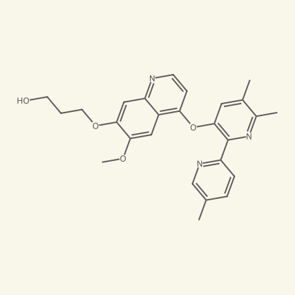 COc1cc2c(Oc3cc(C)c(C)nc3-c3ccc(C)cn3)ccnc2cc1OCCCO